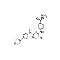 CN1CCN(c2ccc(Nc3ncc(F)c(Nc4ccc(C(=O)NN)cc4)n3)cc2)CC1